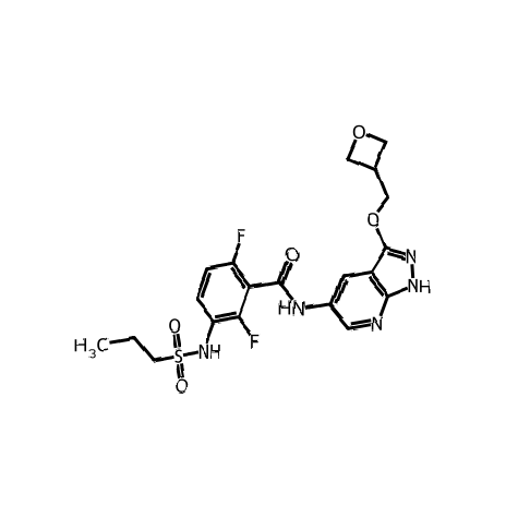 CCCS(=O)(=O)Nc1ccc(F)c(C(=O)Nc2cnc3[nH]nc(OCC4COC4)c3c2)c1F